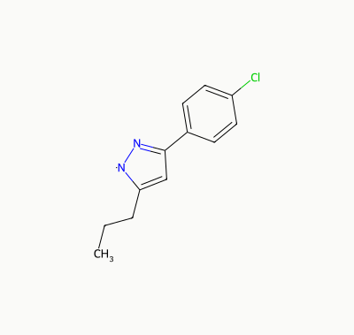 CCCC1=CC(c2ccc(Cl)cc2)=N[N]1